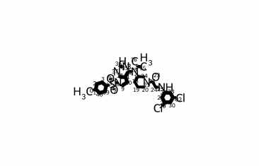 Cc1ccc(S(=O)(=O)n2ccc3c(N(C(C)C)C4CCCN(C(=O)CNc5cc(Cl)cc(Cl)c5)C4)ncnc32)cc1